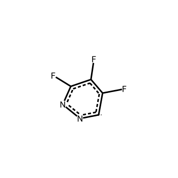 Fc1[c]nnc(F)c1F